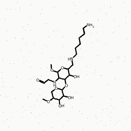 COC1COC(OC2C(O)C(CNCCCCCCN)OC(OC)C2NCC=O)C(O)C1O